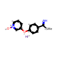 CSC(=N)c1ccc(Oc2ccc[n+]([O-])c2)cc1.I